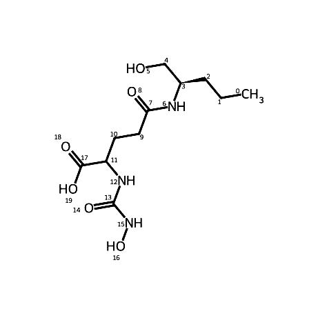 CCC[C@H](CO)NC(=O)CCC(NC(=O)NO)C(=O)O